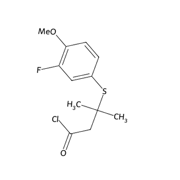 COc1ccc(SC(C)(C)CC(=O)Cl)cc1F